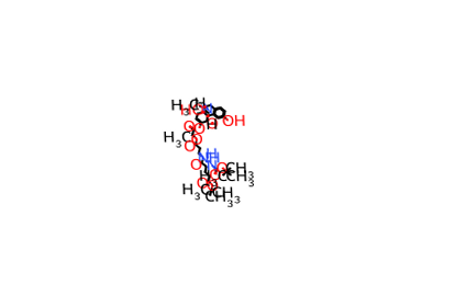 C[C@H](OC(=O)CCNC(=O)C(CCC(=O)OC(C)(C)C)NC(=O)OC(C)(C)C)C(=O)OC1=CC[C@@]2(O)[C@H]3Cc4ccc(O)c5c4[C@@]2(CCN3C)[C@H]1O5